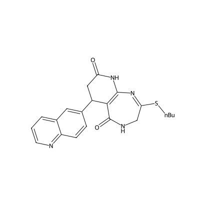 CCCCSC1=NC2=C(C(=O)NC1)C(c1ccc3ncccc3c1)CC(=O)N2